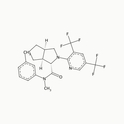 Cc1cccc(N(C)C(=O)[C@@H]2[C@H]3CCC[C@H]3CN2c2ncc(C(F)(F)F)cc2C(F)(F)F)c1